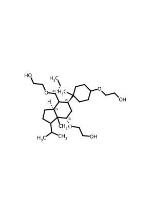 CC[C@@H](OCCO)C1[C@@H](C2(C)CCC(OCCO)CC2)C[C@H](OCCO)C2(C)C(C(C)C)CC[C@@H]12